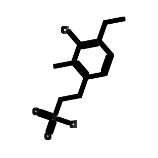 CCc1ccc(CCS(=O)(=O)Cl)c(C)c1Cl